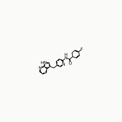 O=C(Nc1ccc(Cc2c[nH]c3ncccc23)cn1)C1C=CC(F)=CC1